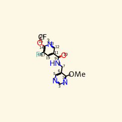 COc1ncncc1CNC(=O)c1cnc(OC(F)(F)F)c(F)c1